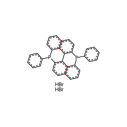 Br.Br.c1ccc(P(c2ccccc2)c2ccccc2-c2ccccc2P(c2ccccc2)c2ccccc2)cc1